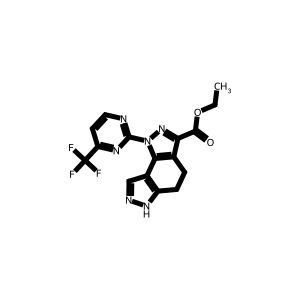 CCOC(=O)c1nn(-c2nccc(C(F)(F)F)n2)c2c1CCc1[nH]ncc1-2